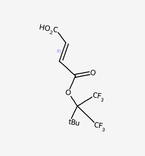 CC(C)(C)C(OC(=O)/C=C/C(=O)O)(C(F)(F)F)C(F)(F)F